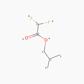 CC(C)COC(=O)C(F)F